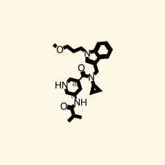 COCCCn1cc(CN(C(=O)[C@@H]2CNC[C@H](NC(=O)C(C)C)C2)C2CC2)c2ccccc21